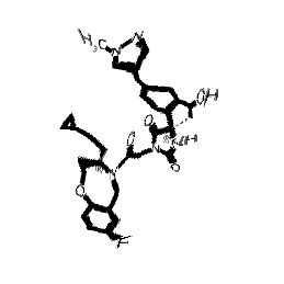 Cn1cc(-c2ccc3c(c2)C(O)C[C@@]32NC(=O)N(CC(=O)N3Cc4cc(F)ccc4OC[C@H]3CC3CC3)C2=O)cn1